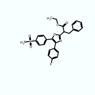 CCOC(=O)C(Cc1ccccc1)c1nc(-c2ccc(F)cc2)c(-c2ccc(S(N)(=O)=O)cc2)o1